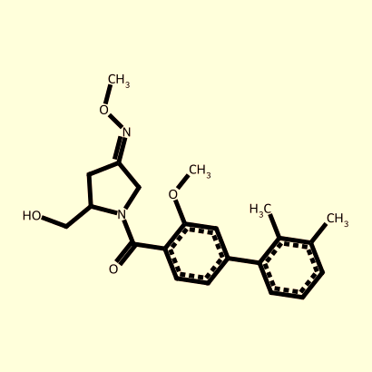 CO/N=C1\CC(CO)N(C(=O)c2ccc(-c3cccc(C)c3C)cc2OC)C1